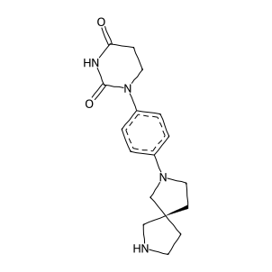 O=C1CCN(c2ccc(N3CC[C@]4(CCNC4)C3)cc2)C(=O)N1